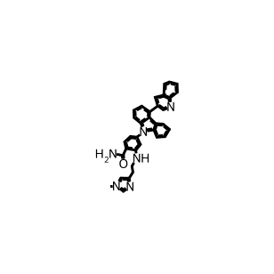 Cn1cnc(CCNc2cc(-n3c4ccccc4c4c(-c5cnc6ccccc6c5)cccc43)ccc2C(N)=O)c1